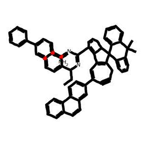 CCC(/N=C(\N=C(/N)c1ccc(-c2ccccc2)cc1)C1=C2C3=C(CC#CC(c4ccc5c(ccc6ccccc65)c4)=C3)C3(c4ccccc4C(C)(C)c4ccccc43)C2CC=C1)c1ccccc1